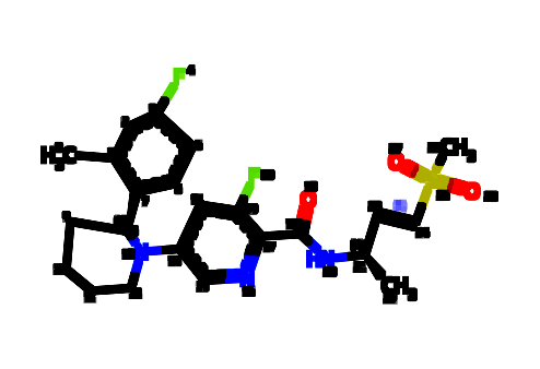 Cc1cc(F)ccc1[C@@H]1CCCCN1c1cnc(C(=O)N[C@H](C)/C=C/S(C)(=O)=O)c(F)c1